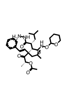 CC(=O)O[C@H](C)C(=O)C(/C=C/c1ccccc1)(CC(C)C)[C@@H](C(=O)NOC1CCCCO1)[C@@H](CC(C)C)C(=O)NN